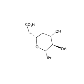 CC(C)[C@@H]1O[C@H](CC(=O)O)C[C@H](O)[C@H]1O